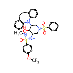 CN=S(=O)(NC1CN(S(=O)(=O)c2ccccc2)CC(N2c3ccccc3CCc3ccccc32)C1O)c1ccc(OC(F)(F)F)cc1